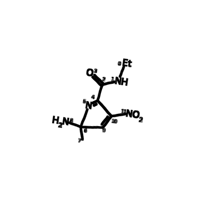 CCNC(=O)C1=NC(C)(N)C=C1[N+](=O)[O-]